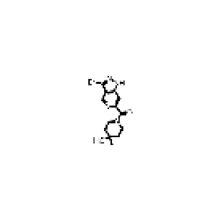 CC1(O)CCN(C(=O)c2cc3[nH]nc(Br)c3cn2)CC1